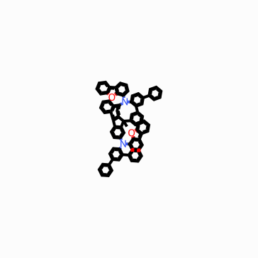 CC12c3cccc(c3)-c3cc(-c4ccccc4)ccc3N(c3cccc4c3oc3ccccc34)c3cc1c(c1ccccc31)-c1ccc(N(c3ccc(-c4ccccc4)cc3-c3ccccc3)c3cccc4c3oc3ccccc34)cc12